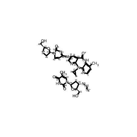 Cc1ccnc2c1NC(=O)c1cccnc1N2C1CC1.Cc1cn([C@H]2C[C@H](N=[N+]=[N-])[C@@H](CO)O2)c(=O)[nH]c1=O.Nc1ccn([C@H]2CS[C@@H](CO)O2)c(=O)n1